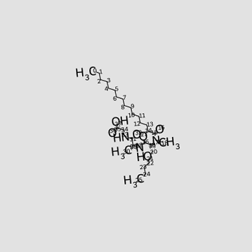 CCCCCCCCCCCCCCCC(=O)N(C)[C@H](COCCCC)C(=O)N[C@H](C)C(=O)NCC(=O)O